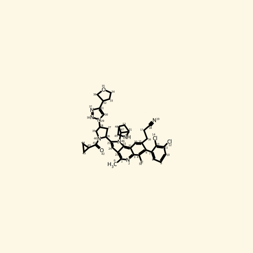 Cc1nc2c(F)c(-c3cccc(Cl)c3Cl)c(CCC#N)cc2c2c1cc(C1CC(n3cc(C4CCOC4)nn3)CN1C(=O)C1CC1)n2C1C2CNC1C2